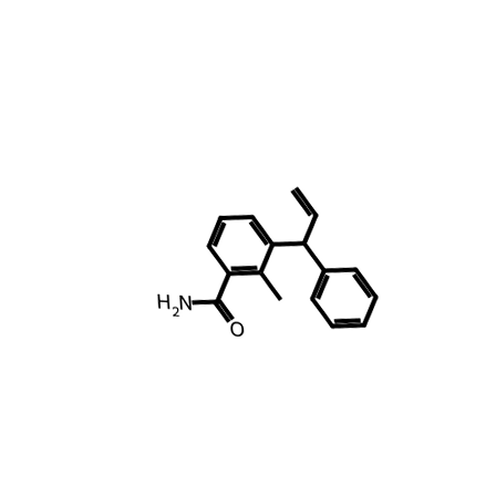 C=CC(c1ccccc1)c1cccc(C(N)=O)c1C